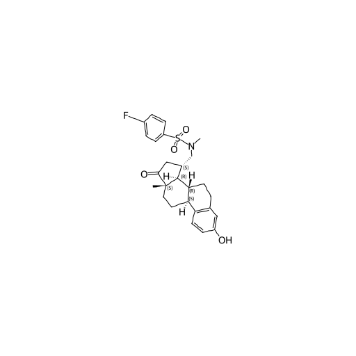 CN(C[C@H]1CC(=O)[C@@]2(C)CC[C@@H]3c4ccc(O)cc4CC[C@H]3[C@H]12)S(=O)(=O)c1ccc(F)cc1